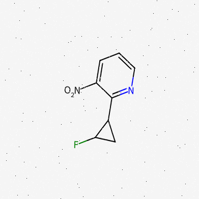 O=[N+]([O-])c1cccnc1C1CC1F